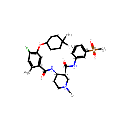 COc1cc(F)c(OC2CCC(C)(C(=O)O)CC2)cc1C(=O)N[C@@H]1CCN(C(C)=O)C[C@@H]1C(=O)Nc1cccc(S(=O)(=O)C(F)(F)F)c1